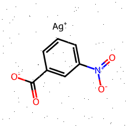 O=C([O-])c1cccc([N+](=O)[O-])c1.[Ag+]